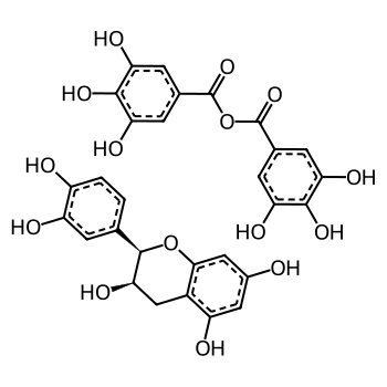 O=C(OC(=O)c1cc(O)c(O)c(O)c1)c1cc(O)c(O)c(O)c1.Oc1cc(O)c2c(c1)O[C@H](c1ccc(O)c(O)c1)[C@H](O)C2